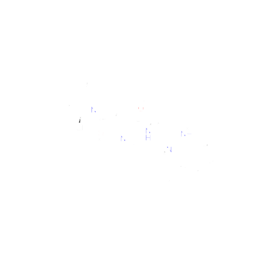 CC[C@H]1CCCCN1C(=O)CC(N)C(=O)NC(C)c1nc2c(F)cccc2[nH]1